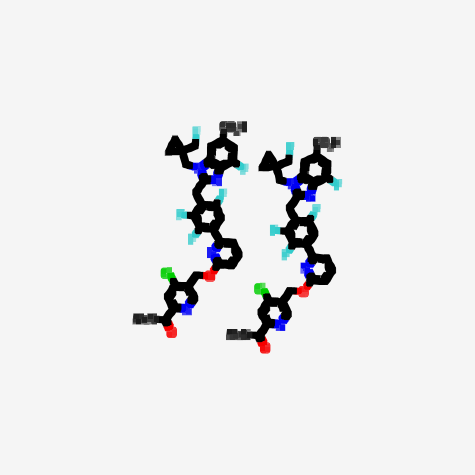 CNC(=O)c1cc(Cl)c(COc2cccc(-c3cc(F)c(Cc4nc5c(F)cc(C(=O)O)cc5n4CC4(CF)CC4)c(F)c3F)n2)cn1.CNC(=O)c1cc(Cl)c(COc2cccc(-c3cc(F)c(Cc4nc5c(F)cc(C(=O)O)cc5n4CC4(CF)CC4)c(F)c3F)n2)cn1